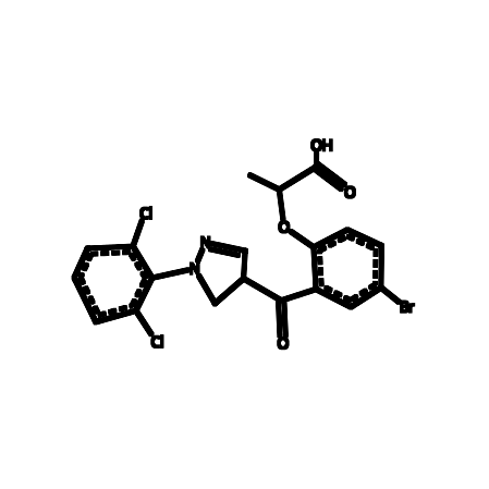 CC(Oc1ccc(Br)cc1C(=O)C1C=NN(c2c(Cl)cccc2Cl)C1)C(=O)O